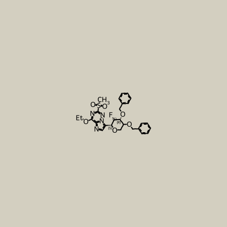 CCOc1nc(S(C)(=O)=O)nn2c([C@@H]3OCC(OCc4ccccc4)[C@@H](OCc4ccccc4)[C@H]3F)cnc12